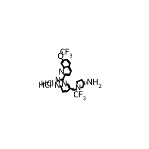 Cl.Cl.N[C@H]1CCN([C@H](c2ccc3nnc(-c4ccc5ccc(OC(F)(F)F)cc5n4)n3c2)C(F)(F)F)C1